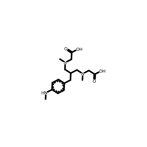 CNc1ccc(CC(CN(C)CC(=O)O)CN(C)CC(=O)O)cc1